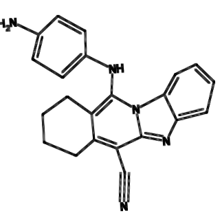 N#Cc1c2c(c(Nc3ccc(N)cc3)n3c1nc1ccccc13)CCCC2